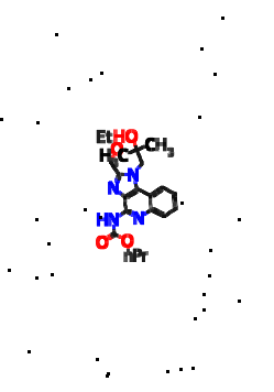 CCCOC(=O)Nc1nc2ccccc2c2c1nc(COCC)n2CC(C)(C)O